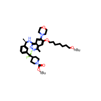 CCCCOCCCCCCCOc1cc2c(C)nnc(N[C@H](C)c3cccc(C(F)(F)C4CCN(C(=O)OC(C)(C)C)CC4)c3)c2cc1N1CCOCC1